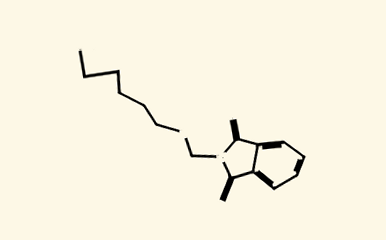 O=C(O)CCCCCSCN1C(=O)c2ccccc2C1=O